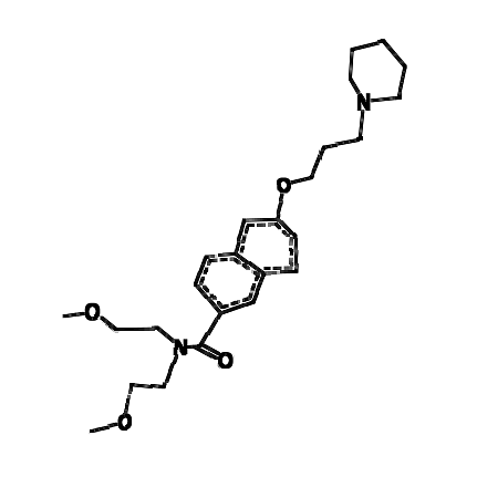 COCCN(CCOC)C(=O)c1ccc2cc(OCCCN3CCCCC3)ccc2c1